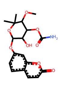 COC1C(OC(N)=O)C(O)C(Oc2ccc3ccc(=O)oc3c2)OC1(C)C